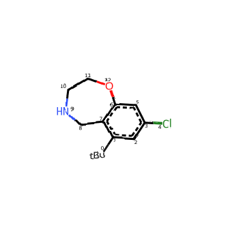 CC(C)(C)c1cc(Cl)cc2c1CNCCO2